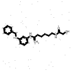 C=C(CCCCCNC(=O)CS)Nc1cccc(OCc2ccccc2)c1